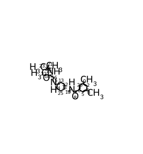 Cc1cc(C)cc(C(=O)NC[C@H]2CC[C@@H](NCC(=O)NC(C)(C)C)CC2)c1